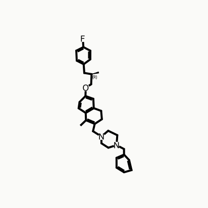 CC1=C(CN2CCN(Cc3ccccc3)CC2)CCc2cc(OC[C@H](C)Cc3ccc(F)cc3)ccc21